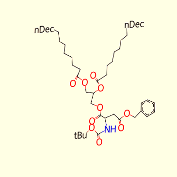 CCCCCCCCCCCCCCCCCC(=O)OCC(COC(=O)C(CC(=O)OCc1ccccc1)NC(=O)OC(C)(C)C)OC(=O)CCCCCCCCCCCCCCCCC